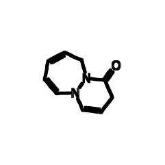 O=C1CC=CN2C=CC=CCN12